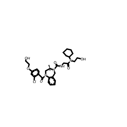 C[C@@H]1CN(C(=O)c2ccc(OCCO)cc2Cl)c2ccccc2CN1C(=O)NCC(=O)N(CCO)C1CCCCC1